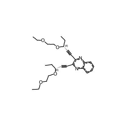 CCOCCO[C@@H](C#Cc1nc2ccccc2nc1C#C[C@@H](CC)OCCOCC)CC